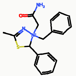 CC1=N[N+](CC(N)=O)(Cc2ccccc2)C(c2ccccc2)S1